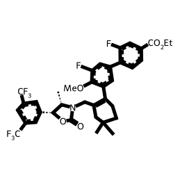 CCOC(=O)c1ccc(-c2cc(F)c(OC)c(C3=C(CN4C(=O)O[C@H](c5cc(C(F)(F)F)cc(C(F)(F)F)c5)[C@@H]4C)CC(C)(C)CC3)c2)c(F)c1